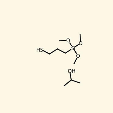 CC(C)O.CO[Si](CCCS)(OC)OC